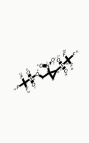 O=[N+]([O-])C1(COS(=O)(=O)C(F)(F)F)CC1S(=O)(=O)C(F)(F)F